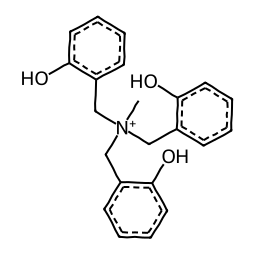 C[N+](Cc1ccccc1O)(Cc1ccccc1O)Cc1ccccc1O